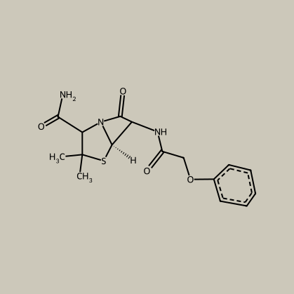 CC1(C)S[C@@H]2C(NC(=O)COc3ccccc3)C(=O)N2C1C(N)=O